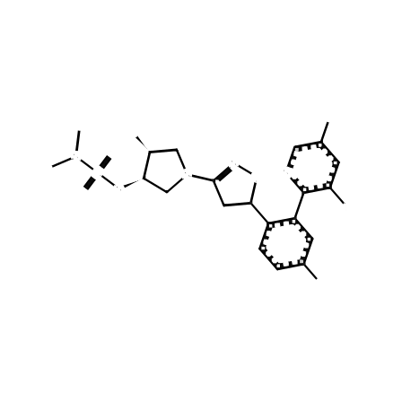 CN(C)S(=O)(=O)N[C@@H]1CN(C2=NOC(c3ccc(Cl)cc3-c3ncc(F)cc3F)C2)C[C@@H]1F